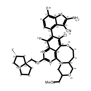 COCC1CN2c3nc(OC[C@@]45CCCN4C[C@H](C)C5)nc4c(F)c(-c5ccc(F)c6sc(N)c(C#N)c56)c(Cl)c(c34)OCCC2CO1